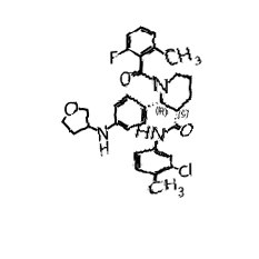 Cc1ccc(NC(=O)[C@H]2CCCN(C(=O)c3c(C)cccc3F)[C@H]2c2ccc(NC3CCOC3)cc2)cc1Cl